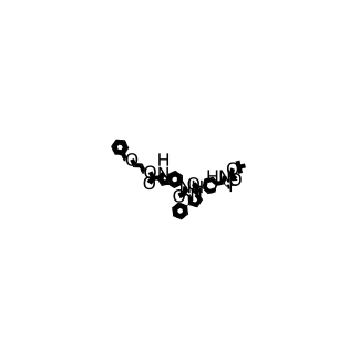 CC(C)(C)OC(=O)N[C@H](CF)[C@H]1CC[C@H](C(=O)N2CC[C@H](c3ccccc3)[C@H]2C(=O)Nc2ccc3[nH]c(C(=O)OCCCOCc4ccccc4)cc3c2)CC1